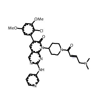 COc1cc(OC)c(Cl)c(-c2cc3cnc(Nc4cccnc4)nc3n(C3CCN(C(=O)/C=C/CN(C)C)CC3)c2=O)c1